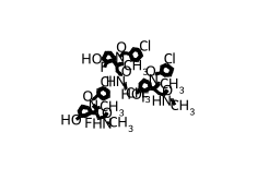 CCCNC(=O)Cc1c(C)n(C(=O)c2cccc(Cl)c2)c2ccc(O)c(F)c12.CCNC(=O)Cc1c(C)n(C(=O)c2cccc(Cl)c2)c2ccc(O)c(F)c12.CNC(=O)Cc1c(C)n(C(=O)c2cccc(Cl)c2)c2ccc(O)c(F)c12